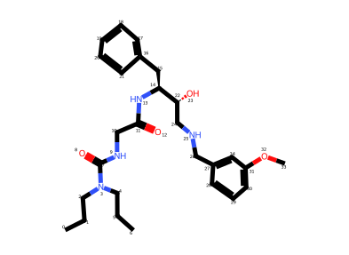 CCCN(CCC)C(=O)NCC(=O)N[C@@H](Cc1ccccc1)[C@H](O)CNCc1cccc(OC)c1